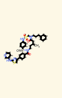 COc1ccc(NS(=O)(=O)CN(CCCc2ccccc2)C(=O)CC(C)CCNC(=O)c2ccc(-c3csc(Nc4cccnc4)n3)cc2)cc1